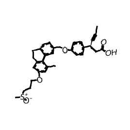 CC#C[C@@H](CC(=O)O)c1ccc(OCc2ccc3c(c2)-c2c(C)cc(OCCC[S+](C)[O-])cc2CC3)cc1